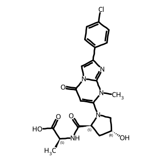 C[C@H](NC(=O)[C@@H]1C[C@@H](O)CN1c1cc(=O)n2cc(-c3ccc(Cl)cc3)nc2n1C)C(=O)O